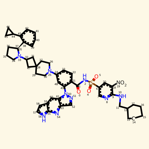 O=C(NS(=O)(=O)c1cnc(NCC2CCCCC2)c([N+](=O)[O-])c1)c1ccc(N2CCC3(CC2)CC(N2CCC[C@H]2c2ccccc2C2CC2)C3)cc1-n1ncc2nc3[nH]ccc3cc21